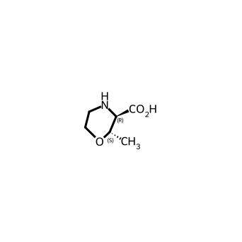 C[C@@H]1OCCN[C@H]1C(=O)O